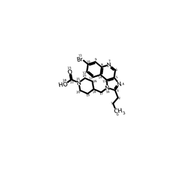 CCCc1nc2cnc3cc(Br)ccc3c2n1CC1CCN(C(=O)O)CC1